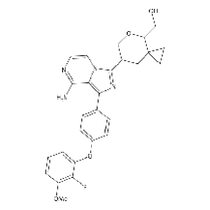 COc1cccc(Oc2ccc(-c3nc(C4COC(CO)C5(CC5)C4)n4ccnc(N)c34)cc2)c1F